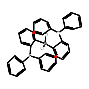 Cl[Si](Cl)(c1ccccc1P(c1ccccc1)c1ccccc1)c1ccccc1P(c1ccccc1)c1ccccc1